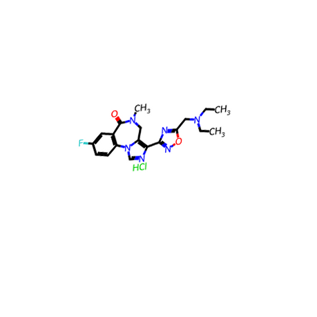 CCN(CC)Cc1nc(-c2ncn3c2CN(C)C(=O)c2cc(F)ccc2-3)no1.Cl